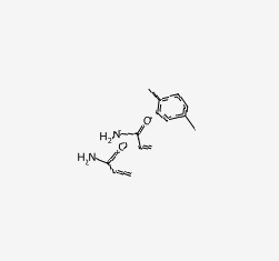 C=CC(N)=O.C=CC(N)=O.Cc1ccc(C)cc1